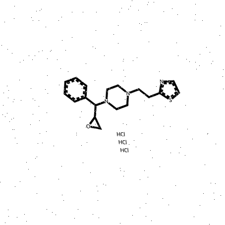 Cl.Cl.Cl.c1ccc(C(C2CO2)N2CCN(CCc3nccs3)CC2)cc1